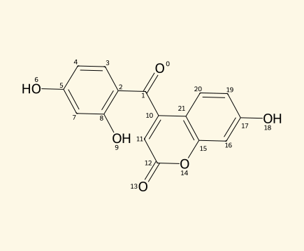 O=C(c1ccc(O)cc1O)c1cc(=O)oc2cc(O)ccc12